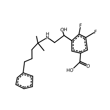 CC(C)(CCCc1ccccc1)NCC(O)c1cc(C(=O)O)cc(F)c1F